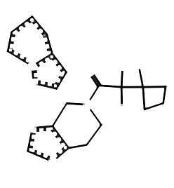 O=C(N1CCc2[nH]cnc2[C@@H]1c1cc2ccccn2n1)C(F)(F)C1(O)CCC1